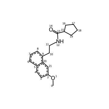 COc1ccc2cccc(CCNC(=O)C3CCCC3)c2c1